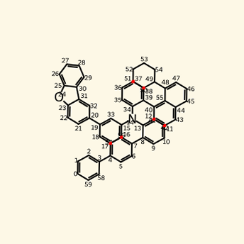 c1ccc(-c2ccc(-c3ccccc3N(c3cccc(-c4ccc5oc6ccccc6c5c4)c3)c3ccccc3-c3cccc4cccc(C5CCCCC5)c34)cc2)cc1